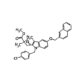 COC(=O)C(C)(C)Cc1c(C)c2cc(OCc3ccc4ccccc4c3)ccc2n1Cc1ccc(Cl)cc1